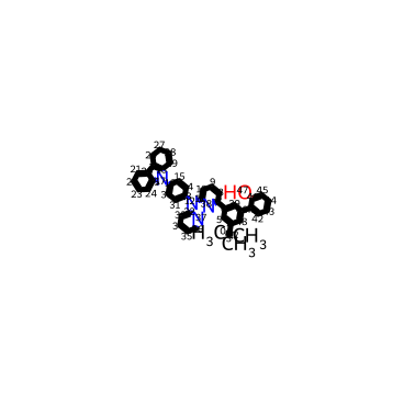 CC(C)(C)c1cc(-c2cccc(N(c3ccc(-n4c5c(c6ccccc64)CCC=C5)cc3)c3ccccn3)n2)cc(-c2ccccc2O)c1